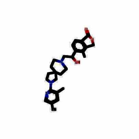 Cc1cc(C#N)cnc1N1CCC2(CCN(CC(O)c3ccc4c(c3C)COC4=O)CC2)C1